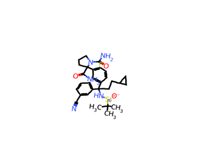 CC(C)(C)[S@@+]([O-])NC(CCC1CC1)(c1cccc(C#N)c1)c1ccc(F)c(C2(C(N)=O)CCCN2C(N)=O)c1